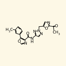 CC(=O)c1ncc(Cn2ncc(NC(=O)c3ncoc3-c3cccc(C)c3)n2)o1